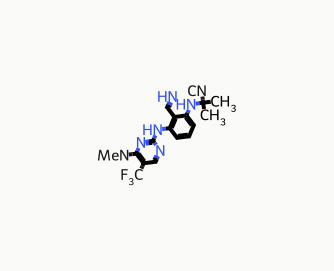 CNc1nc(Nc2cccc(NC(C)(C)C#N)c2C=N)ncc1C(F)(F)F